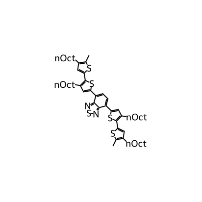 CCCCCCCCc1cc(-c2sc(-c3ccc(-c4cc(CCCCCCCC)c(-c5cc(CCCCCCCC)c(C)s5)s4)c4nsnc34)cc2CCCCCCCC)sc1C